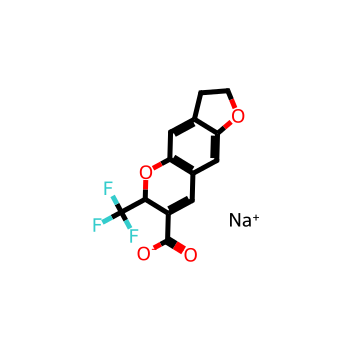 O=C([O-])C1=Cc2cc3c(cc2OC1C(F)(F)F)CCO3.[Na+]